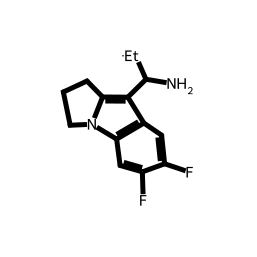 C[CH]C(N)c1c2n(c3cc(F)c(F)cc13)CCC2